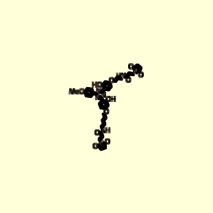 COc1ccc(-c2nc(-c3ccc(OCCCCCNC(=O)CCN4C(=O)C=CC4=O)cc3O)nc(-c3ccc(OCCCNC(=O)CCN4C(=O)C=CC4=O)cc3O)n2)cc1